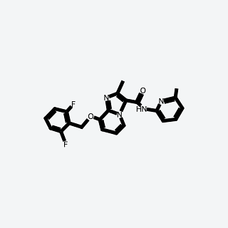 Cc1cccc(NC(=O)c2c(C)nc3c(OCc4c(F)cccc4F)cccn23)n1